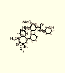 CC[C@]1(C)CN(C2CCCCC2)c2nc(Nc3ccc(C(=O)N[C@@H]4CCCNC4)cc3OC)ncc2N(C)C1=O